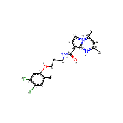 CCc1cc(F)c(F)cc1OCCCNC(=O)c1ccn2c(C)cc(C)nc12